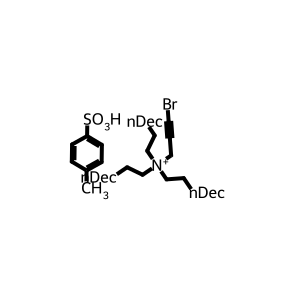 CCCCCCCCCCCC[N+](CC#CBr)(CCCCCCCCCCCC)CCCCCCCCCCCC.Cc1ccc(S(=O)(=O)O)cc1